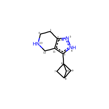 C1Cc2n[nH]c(C34CC(C3)C4)c2CN1